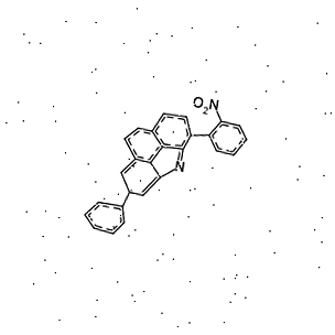 O=[N+]([O-])c1ccccc1-c1ccc2ccc3c4c2c1=NC4=CC(c1ccccc1)C=3